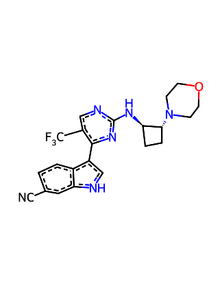 N#Cc1ccc2c(-c3nc(N[C@@H]4CC[C@H]4N4CCOCC4)ncc3C(F)(F)F)c[nH]c2c1